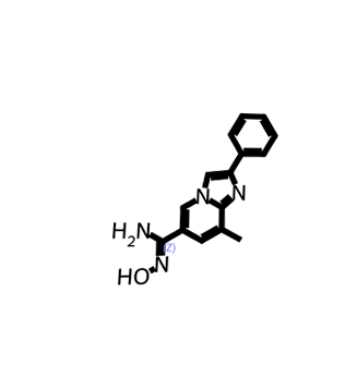 Cc1cc(/C(N)=N/O)cn2cc(-c3ccccc3)nc12